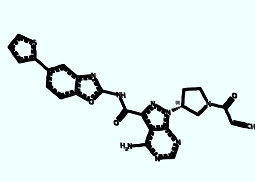 C=CC(=O)N1CC[C@@H](n2nc(C(=O)Nc3nc4cc(-c5cccs5)ccc4o3)c3c(N)ncnc32)C1